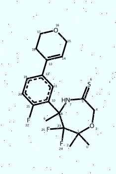 CC1(C)OCC(=S)NC(C)(c2cc(C3=CCOCC3)ccc2F)C1(F)F